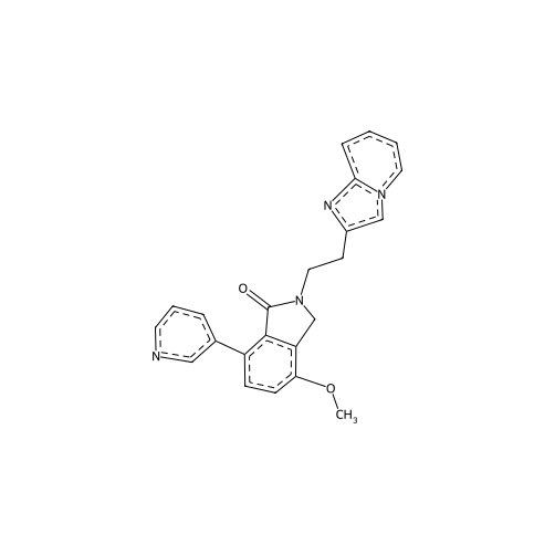 COc1ccc(-c2cccnc2)c2c1CN(CCc1cn3ccccc3n1)C2=O